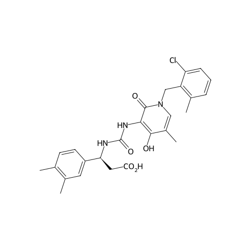 Cc1ccc([C@H](CC(=O)O)NC(=O)Nc2c(O)c(C)cn(Cc3c(C)cccc3Cl)c2=O)cc1C